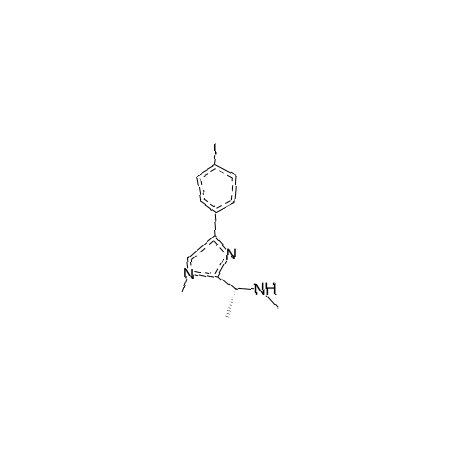 CN[C@H](C)c1nc(-c2ccc(I)cc2)cn1C